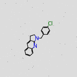 Clc1ccc(CN2CCc3cc4ccccc4nc32)cc1